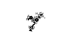 CC(C)(OC(=O)Nc1ccc2c(c1)N(S(=O)(=O)c1ccc(F)c(C(F)(F)F)c1)C[C@H](CCC(=O)NS(=O)(=O)C1CC1)O2)C(F)(F)F